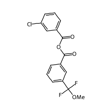 COC(F)(F)c1cccc(C(=O)OC(=O)c2cccc(Cl)c2)c1